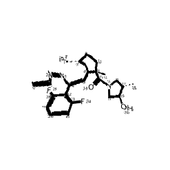 C=C/N=N\C(=C/C1[C@H](C(C)C)CC[C@]1(C)C(=O)N1C[C@H](C)[C@@H](O)C1)c1c(F)cccc1F